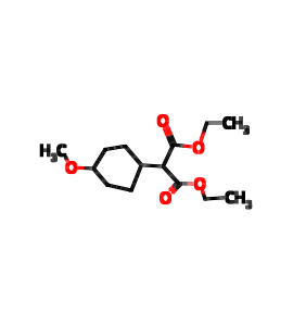 CCOC(=O)C(C(=O)OCC)C1CCC(OC)CC1